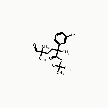 CC(C)(C=O)CCC(C)(C(=O)OC(C)(C)C)c1cccc(Br)c1